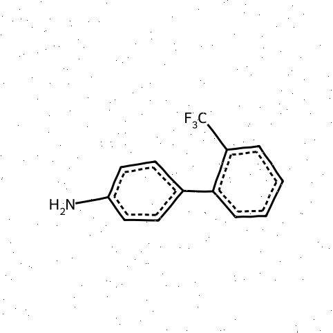 Nc1ccc(-c2ccccc2C(F)(F)F)cc1